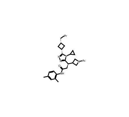 CC(=O)N1CC([C@@H](CC(=O)Nc2ccc(C)cc2C)c2nnc([C@H]3C[C@@H](CC(C)C)C3)n2C2CC2)C1